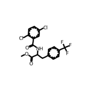 COC(=O)C(Cc1ccc(C(F)(F)F)cc1)NC(=O)c1cc(Cl)ccc1Cl